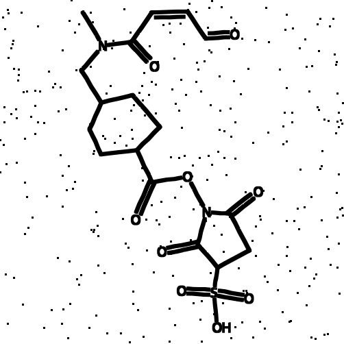 CN(CC1CCC(C(=O)ON2C(=O)CC(S(=O)(=O)O)C2=O)CC1)C(=O)/C=C\C=O